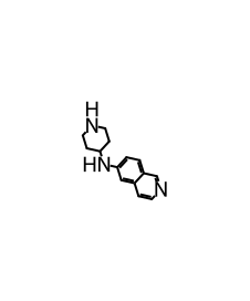 c1cc2cc(NC3CCNCC3)ccc2cn1